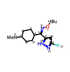 CNC1CCC(/C(=N/OC(C)(C)C)c2cc(F)n[nH]2)CC1